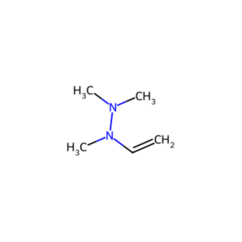 C=CN(C)N(C)C